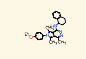 CCOc1ccc(-n2c(C)c3c(C)nnc(NC4CCCc5ccccc54)c3c2C)cc1